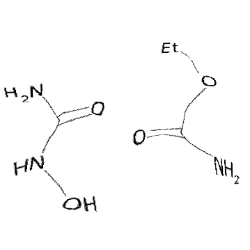 CCOC(N)=O.NC(=O)NO